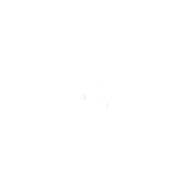 Br.Br.[CH3][Al]